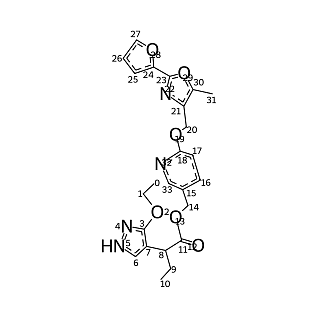 CCOc1n[nH]cc1C(CC)C(=O)OCc1ccc(OCc2nc(-c3ccco3)oc2C)nc1